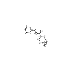 O=C(OCc1ccccc1)C1CC[NH+]([O-])CC1